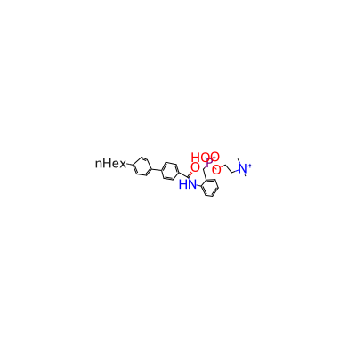 CCCCCCc1ccc(-c2ccc(C(=O)Nc3ccccc3CP(=O)(O)OCC[N+](C)(C)C)cc2)cc1